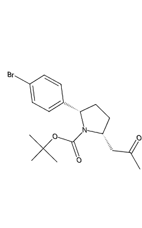 CC(=O)C[C@H]1CC[C@@H](c2ccc(Br)cc2)N1C(=O)OC(C)(C)C